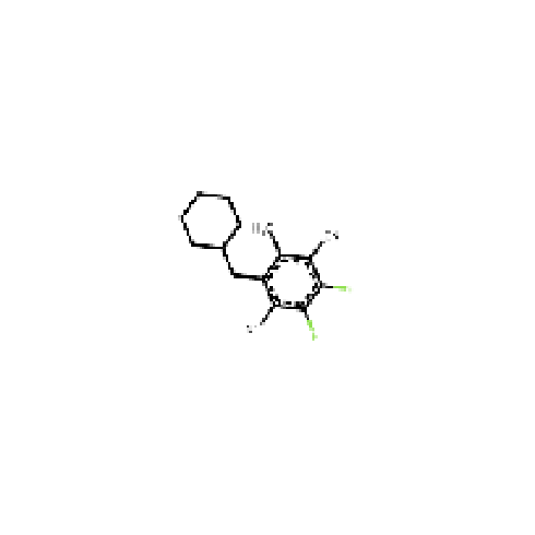 Cc1c(C#N)c(F)c(F)c(C#N)c1CC1CCCCC1